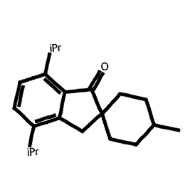 CC1CCC2(CC1)Cc1c(C(C)C)ccc(C(C)C)c1C2=O